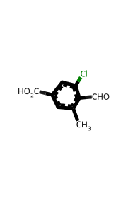 Cc1cc(C(=O)O)cc(Cl)c1C=O